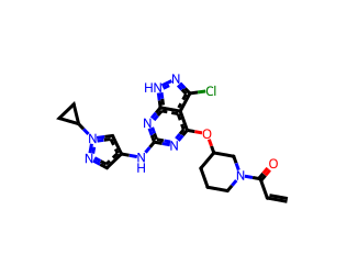 C=CC(=O)N1CCCC(Oc2nc(Nc3cnn(C4CC4)c3)nc3[nH]nc(Cl)c23)C1